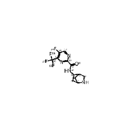 O=C(NC1CC2CC1CN2)c1ncc(F)c(C(F)(F)F)n1